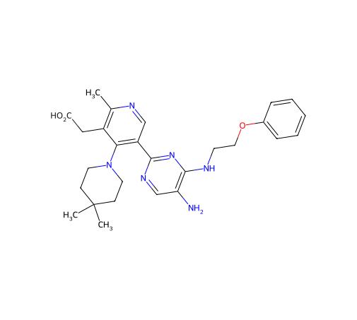 Cc1ncc(-c2ncc(N)c(NCCOc3ccccc3)n2)c(N2CCC(C)(C)CC2)c1CC(=O)O